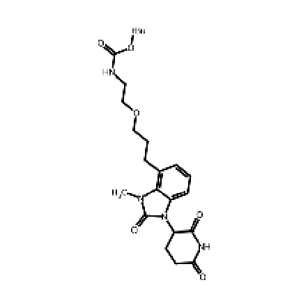 Cn1c(=O)n(C2CCC(=O)NC2=O)c2cccc(CCCOCCNC(=O)OC(C)(C)C)c21